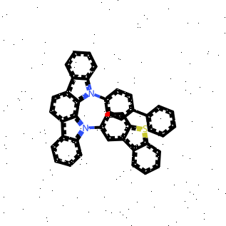 c1ccc(-c2ccc(-n3c4ccccc4c4ccc5c6ccccc6n(-c6ccc7sc8ccccc8c7c6)c5c43)cc2)cc1